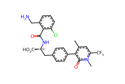 Cc1cc(C(F)(F)F)n(C)c(=O)c1-c1ccc(C[C@H](NC(=O)c2c(Cl)cccc2CN)C(=O)O)cc1